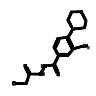 O=C(CCl)NNC(=O)c1ccc(N2CCOCC2)c(C(F)(F)F)c1